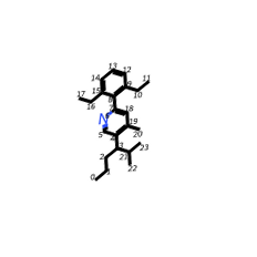 CCCC(c1cnc(-c2c(CC)cccc2CC)cc1C)C(C)C